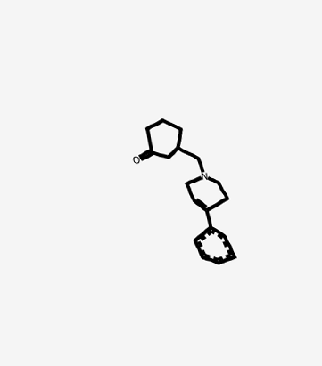 O=C1CCCC(CN2CC=C(c3ccccc3)CC2)C1